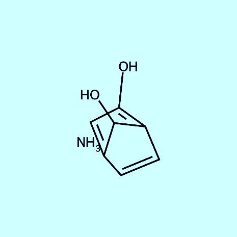 N.OC1=C2C=CC(=C1)C2O